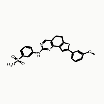 COc1cccc(-c2cc3c(s2)CCc2cnc(Nc4cccc(S(N)(=O)=O)c4)nc2-3)c1